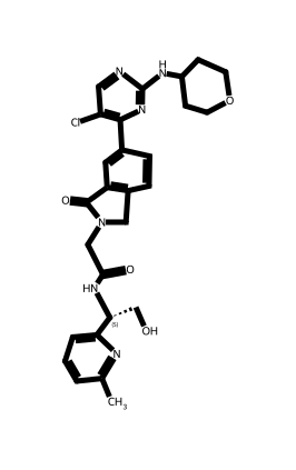 Cc1cccc([C@@H](CO)NC(=O)CN2Cc3ccc(-c4nc(NC5CCOCC5)ncc4Cl)cc3C2=O)n1